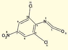 O=C=Nc1c(Cl)cc([N+](=O)[O-])cc1Cl